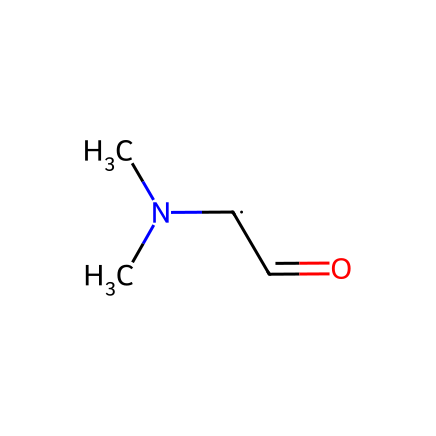 CN(C)[CH]C=O